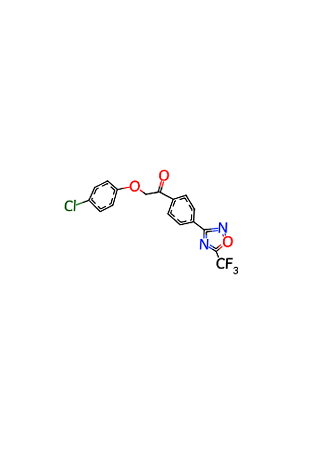 O=C(COc1ccc(Cl)cc1)c1ccc(-c2noc(C(F)(F)F)n2)cc1